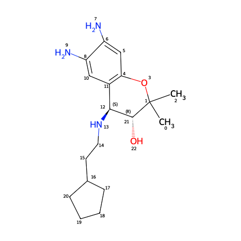 CC1(C)Oc2cc(N)c(N)cc2[C@H](NCCC2CCCC2)[C@H]1O